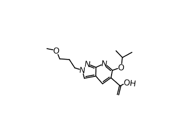 C=C(O)c1cc2cn(CCCOC)nc2nc1OC(C)C